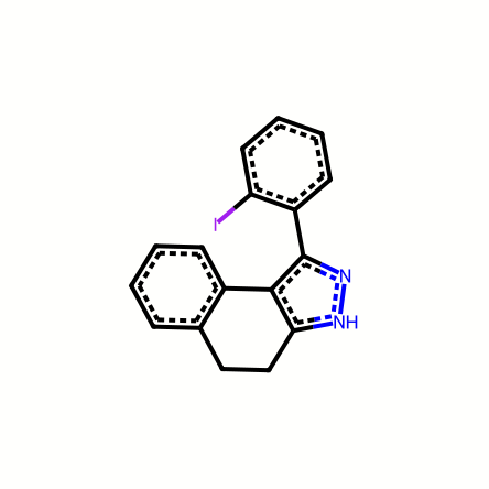 Ic1ccccc1-c1n[nH]c2c1-c1ccccc1CC2